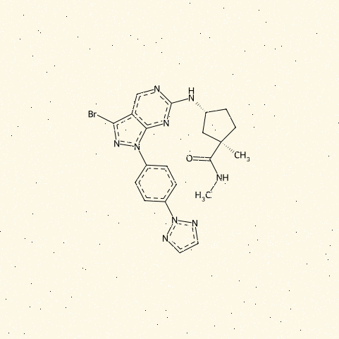 CNC(=O)[C@]1(C)CC[C@@H](Nc2ncc3c(Br)nn(-c4ccc(-n5nccn5)cc4)c3n2)C1